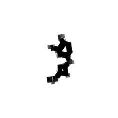 NC1CC(Oc2ccc(F)c(F)c2)C1